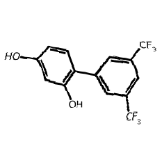 Oc1ccc(-c2cc(C(F)(F)F)cc(C(F)(F)F)c2)c(O)c1